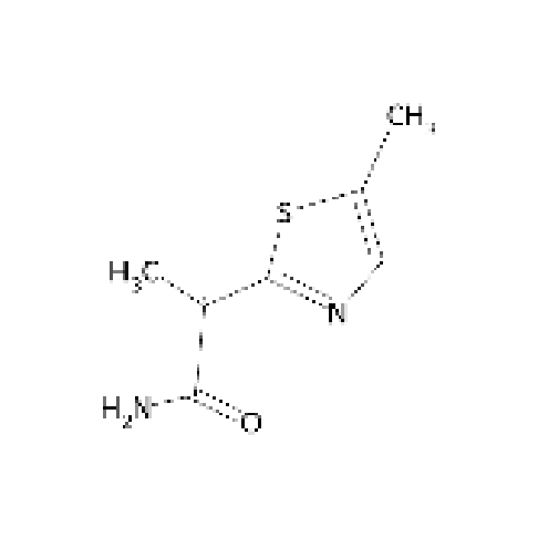 C[C](C(N)=O)c1ncc(C)s1